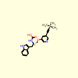 C[Si](C)(C)C#Cc1cncc(OC[C@H](Cc2c[nH]c3ccccc23)NC(=O)O)c1